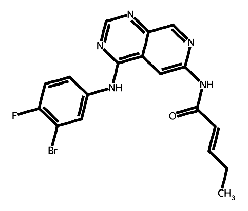 CC/C=C/C(=O)Nc1cc2c(Nc3ccc(F)c(Br)c3)ncnc2cn1